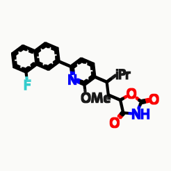 COc1nc(-c2ccc3cccc(F)c3c2)ccc1C(CC1OC(=O)NC1=O)C(C)C